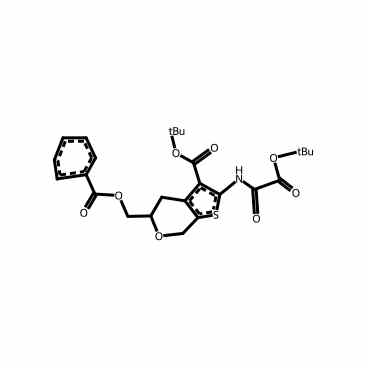 CC(C)(C)OC(=O)C(=O)Nc1sc2c(c1C(=O)OC(C)(C)C)CC(COC(=O)c1ccccc1)OC2